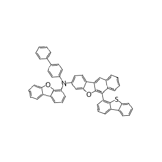 c1ccc(-c2ccc(N(c3ccc4c(c3)oc3c(-c5cccc6c5sc5ccccc56)c5ccccc5cc34)c3cccc4c3oc3ccccc34)cc2)cc1